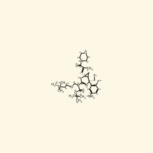 C/C(=C\[C@]12CC1[C@@](CF)(c1cc(N)ccc1F)N=C(N(COCC[Si](C)(C)C)C(=O)OC(C)(C)C)S2)C(=O)N1CCOCC1